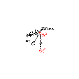 CCCCCCCCCCCCCCCCC(C(=O)O)C(O)CCCCCCCCCCCCCCCCCO.CCCCCCCCCCCCCCCCCC(=O)O